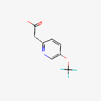 O=C(O)Cc1ccc(OC(F)(F)F)cn1